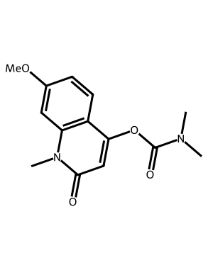 COc1ccc2c(OC(=O)N(C)C)cc(=O)n(C)c2c1